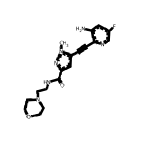 Cn1nc(C(=O)NCCN2CCOCC2)cc1C#Cc1ncc(F)cc1N